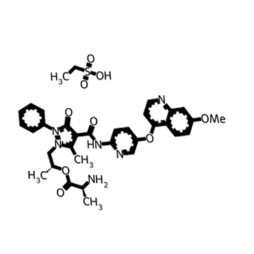 CCS(=O)(=O)O.COc1ccc2c(Oc3ccc(NC(=O)c4c(C)n(C[C@@H](C)OC(=O)[C@H](C)N)n(-c5ccccc5)c4=O)nc3)ccnc2c1